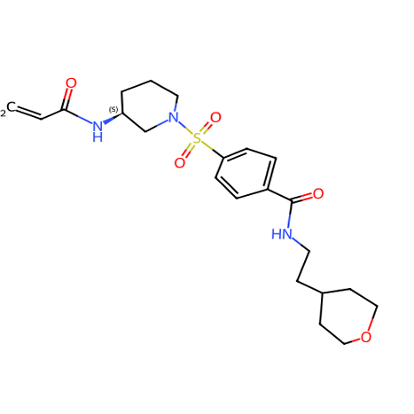 C=CC(=O)N[C@H]1CCCN(S(=O)(=O)c2ccc(C(=O)NCCC3CCOCC3)cc2)C1